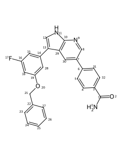 NC(=O)c1ccc(-c2cnc3[nH]cc(-c4cc(F)cc(OCc5ccccc5)c4)c3c2)cc1